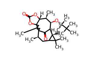 CC1=CC23C(=O)C([C@H]4C(C[C@H]2C)C4(C)C)[C@H](O[Si](C)(C)C(C)(C)C)[C@H](C)[C@H]2OC(=O)OC23C1